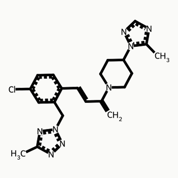 C=C(/C=C/c1ccc(Cl)cc1Cn1nnc(C)n1)N1CCC(n2ncnc2C)CC1